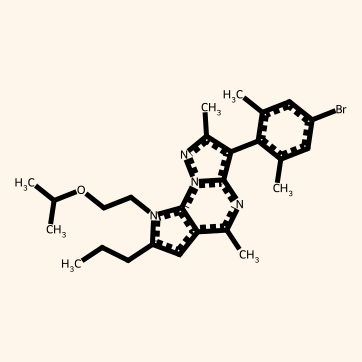 CCCc1cc2c(C)nc3c(-c4c(C)cc(Br)cc4C)c(C)nn3c2n1CCOC(C)C